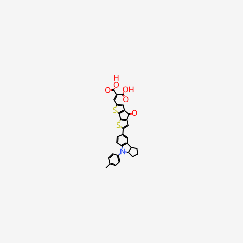 Cc1ccc(N2c3ccc(-c4cc5c(s4)-c4sc(C=C(C(=O)O)C(=O)O)cc4C5=O)cc3C3CCCC32)cc1